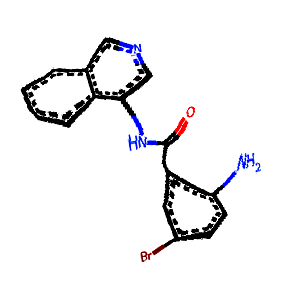 Nc1ccc(Br)cc1C(=O)Nc1cncc2ccccc12